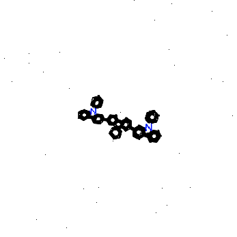 c1ccc(-n2c3ccccc3c3ccc(-c4ccc5c(c4)C4(CCCCC4)c4cc(-c6ccc7c8ccccc8n(-c8ccccc8)c7c6)ccc4-5)cc32)cc1